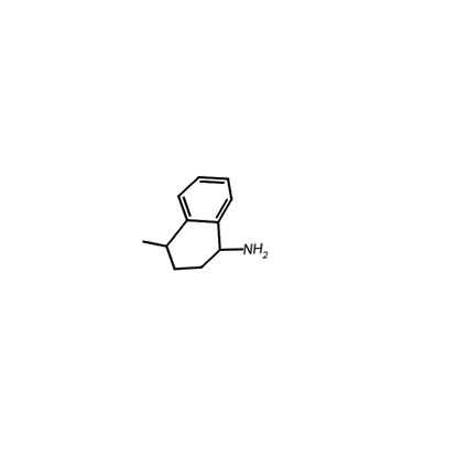 CC1CCC(N)c2ccccc21